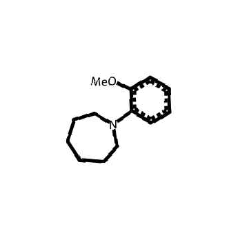 COc1ccccc1N1CCCCCC1